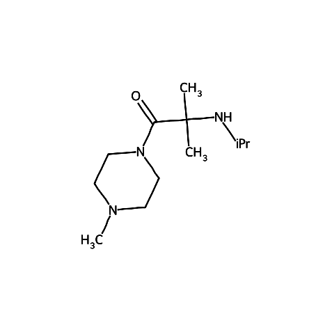 CC(C)NC(C)(C)C(=O)N1CCN(C)CC1